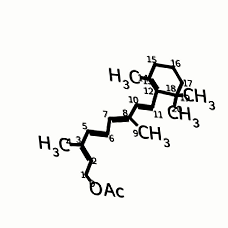 CC(=O)OCC=C(C)/C=C/C=C(C)/C=C/C1=C(C)CCCC1(C)C